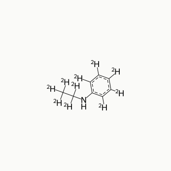 [2H]c1c([2H])c([2H])c(NC([2H])([2H])C([2H])([2H])[2H])c([2H])c1[2H]